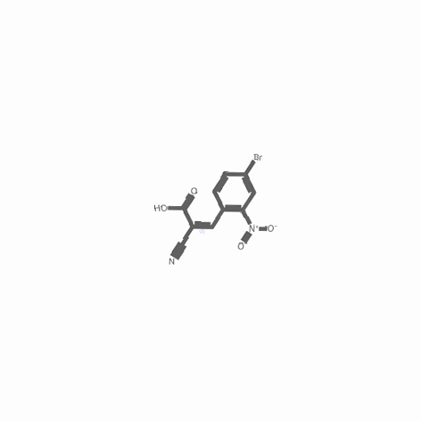 N#C/C(=C/c1ccc(Br)cc1[N+](=O)[O-])C(=O)O